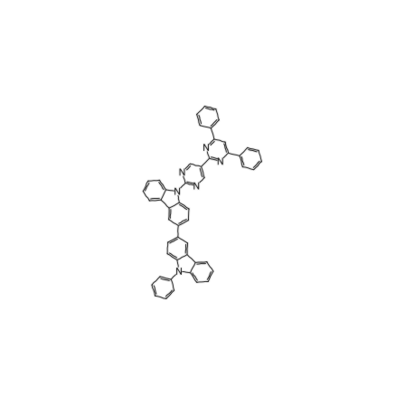 c1ccc(-c2cc(-c3ccccc3)nc(-c3cnc(-n4c5ccccc5c5cc(-c6ccc7c(c6)c6ccccc6n7-c6ccccc6)ccc54)nc3)n2)cc1